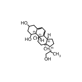 CC(CO)[C@H]1CC[C@H]2C3=CC=C4CC(O)CC(O)[C@]4(C)[C@H]3CC[C@]12C